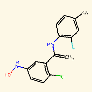 C=C(Nc1ccc(C#N)cc1F)c1cc(NO)ccc1Cl